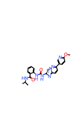 COc1ccc(C2=NN3CC(NC(=O)Nc4ccccc4C(=O)NC(C)C)N=C3C=C2)cn1